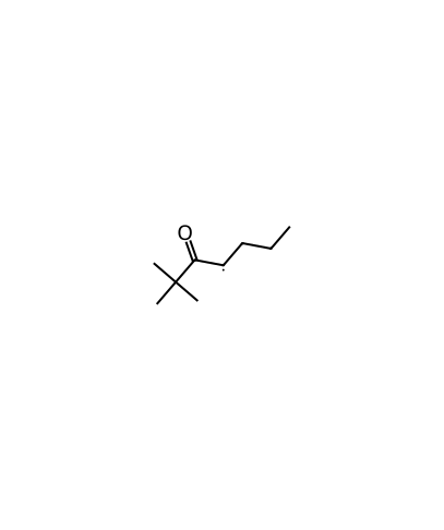 CCC[CH]C(=O)C(C)(C)C